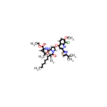 C=CCCCCCC(C)(C)C(=O)N1CC(Oc2cc(-c3nc(C(C)C)cs3)nc3c(Cl)c(OC)ccc23)CC1C(=O)NC1(C(=O)OCC)CC1C=C